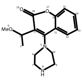 COC(C)c1c(N2CCNCC2)c2ccccc2oc1=O